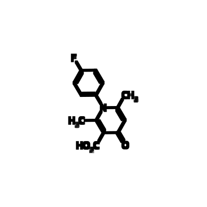 Cc1cc(=O)c(C(=O)O)c(C)n1-c1ccc(F)cc1